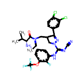 CCN(CC1CN(/C(=N\C#N)Nc2cccc(OC(F)(F)F)c2F)N=C1c1ccc(Cl)c(Cl)c1)C(=O)[C@H](N)C(C)C